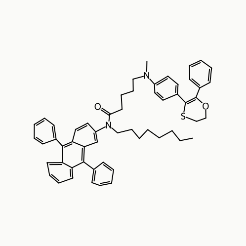 CCCCCCCCN(C(=O)CCCCN(C)c1ccc(C2=C(c3ccccc3)OCCS2)cc1)c1ccc2c(-c3ccccc3)c3ccccc3c(-c3ccccc3)c2c1